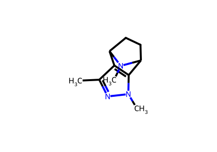 Cc1nn(C)c2c1C1CCC2N1C